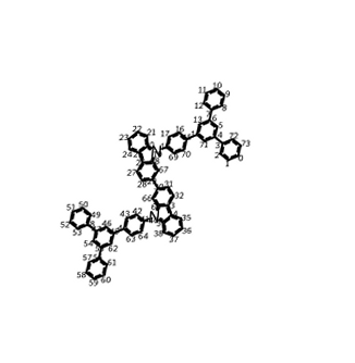 c1ccc(-c2cc(-c3ccccc3)cc(-c3ccc(-n4c5ccccc5c5ccc(-c6ccc7c8ccccc8n(-c8ccc(-c9cc(-c%10ccccc%10)cc(-c%10ccccc%10)c9)cc8)c7c6)cc54)cc3)c2)cc1